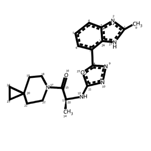 Cc1nc2cccc(-c3nnc(N[C@@H](C)C(=O)N4CCC5(CC4)CC5)o3)c2[nH]1